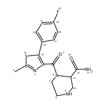 Cc1nc(C(=O)N2CCNCC2C(N)=O)c(-c2ccc(F)cc2)s1